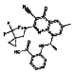 Cc1cc([C@@H](C)Nc2ccccc2C(=O)O)c2nc(NCC3(C(F)(F)F)CC3)c(C#N)c(=O)n2c1